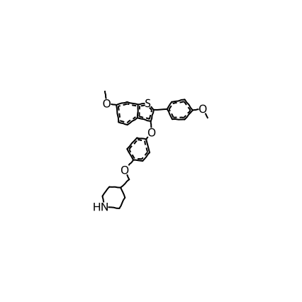 COc1ccc(-c2sc3cc(OC)ccc3c2Oc2ccc(OCC3CCNCC3)cc2)cc1